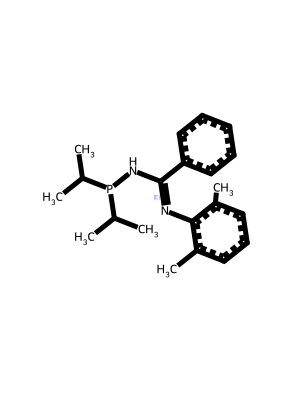 Cc1cccc(C)c1/N=C(/NP(C(C)C)C(C)C)c1ccccc1